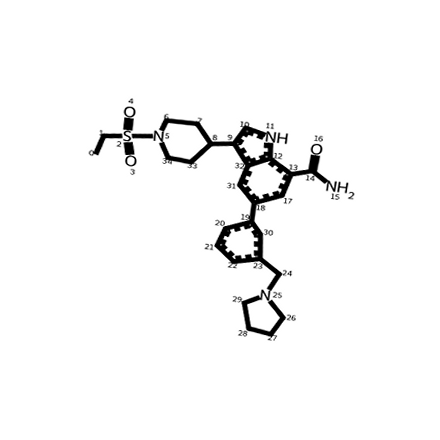 CCS(=O)(=O)N1CCC(c2c[nH]c3c(C(N)=O)cc(-c4cccc(CN5CCCC5)c4)cc23)CC1